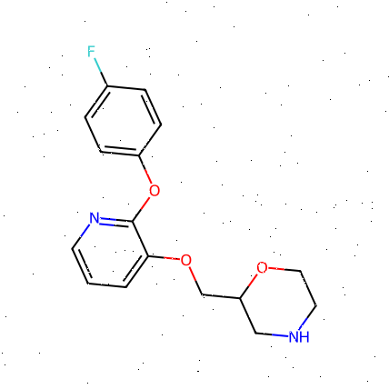 Fc1ccc(Oc2ncccc2OCC2CNCCO2)cc1